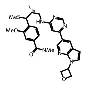 CNC(=O)c1ccc(C(SC)[C@H](C)CNc2cc(-c3cnc4c(ccn4C4COC4)c3)ncn2)c(OC)c1